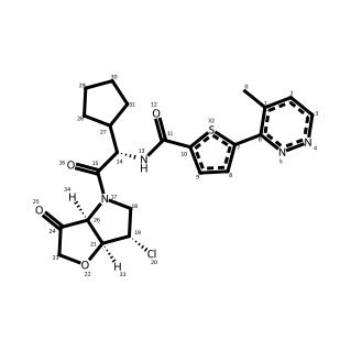 Cc1ccnnc1-c1ccc(C(=O)N[C@H](C(=O)N2C[C@H](Cl)[C@H]3OCC(=O)[C@H]32)C2CCCC2)s1